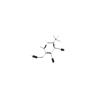 N#CCc1c(F)nc(C(F)(F)F)c(C#N)c1C#N